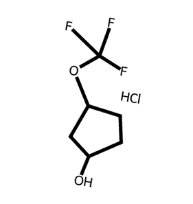 Cl.OC1CCC(OC(F)(F)F)C1